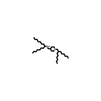 CCCCCCCC(CCCCCCC)NCC1CCN(CC(CCCCCC)CCCCCC)CC1